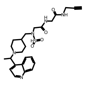 C#CCNC(=O)CNC(=O)CN(CC1CCN(C(C)c2ccnc3ccccc23)CC1)[SH](=O)=O